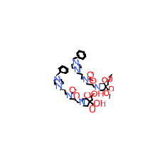 CCOC(=O)CC1(C(=O)OCC)CCN(CC2CN(CCCN3CCN(Cc4ccccc4)CC3)C(=O)O2)CC1.O=C(O)CC1(C(=O)O)CCN(CC2CN(CCCN3CCN(Cc4ccccc4)CC3)C(=O)O2)CC1